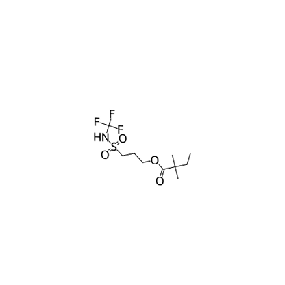 CCC(C)(C)C(=O)OCCCS(=O)(=O)NC(F)(F)F